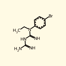 CCN(C(=N)NC(=N)N)c1ccc(Br)cc1